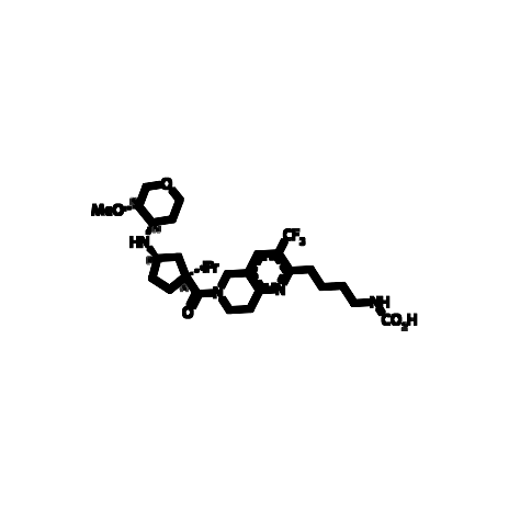 CO[C@@H]1COCC[C@@H]1N[C@@H]1CC[C@@](C(=O)N2CCc3nc(CCCCNC(=O)O)c(C(F)(F)F)cc3C2)(C(C)C)C1